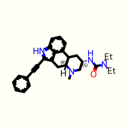 CCN(CC)C(=O)N[C@H]1CC2c3cccc4[nH]c(C#Cc5ccccc5)c(c34)C[C@H]2N(C)C1